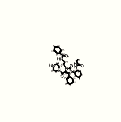 CCC(=O)N[C@H]1CCCCC1n1c(-c2ccccc2)c(C(=O)N2CCNCC2)n(CCNC(=O)c2ccccc2)c1=O